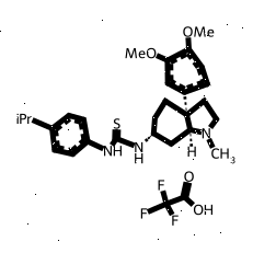 COc1ccc([C@@]23CC[C@@H](NC(=S)Nc4ccc(C(C)C)cc4)C[C@@H]2N(C)CC3)cc1OC.O=C(O)C(F)(F)F